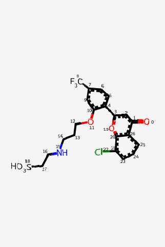 O=c1cc(-c2ccc(C(F)(F)F)cc2OCCCNCCS(=O)(=O)O)oc2c(Cl)cccc12